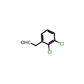 O=[C]Cc1cccc(Cl)c1Cl